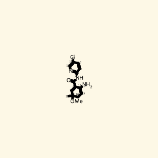 COC1(C)C=C(C(=O)Nc2ccc(Cl)cn2)C(N)=CC1